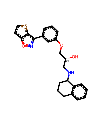 O[C@H](CNC1CCCc2ccccc21)COc1cccc(-c2noc3ccsc23)c1